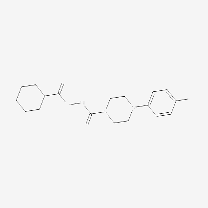 O=C(ONC(=O)N1CCN(c2ccc(F)cc2)CC1)C1CCCCC1